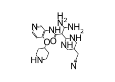 N#CCC1CNC(C(C(=O)Nc2cnccc2OC2CCNCC2)C(N)N)NC1